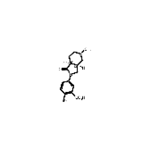 CC(C)c1ccc(N2C[C@@H]3CN(C)CC[C@]3(F)C2=O)cc1C(=O)O